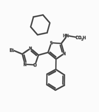 C1CCCCC1.CCc1noc(-c2sc(NC(=O)O)nc2-c2ccccc2)n1